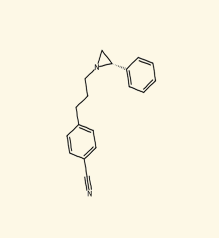 N#Cc1ccc(CCCN2C[C@@H]2c2ccccc2)cc1